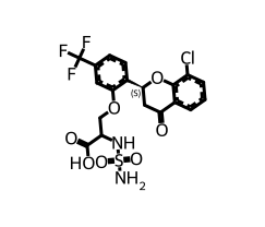 NS(=O)(=O)NC(COc1cc(C(F)(F)F)ccc1[C@@H]1CC(=O)c2cccc(Cl)c2O1)C(=O)O